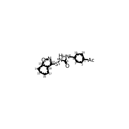 CC(=O)c1ccc(NC(=O)NSc2noc3ccccc23)cc1